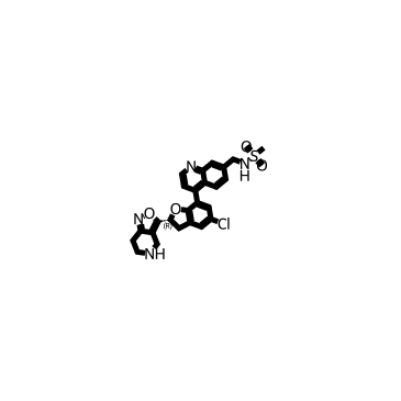 CS(=O)(=O)NCc1ccc2c(-c3cc(Cl)cc4c3O[C@@H](c3onc5c3CNCC5)C4)ccnc2c1